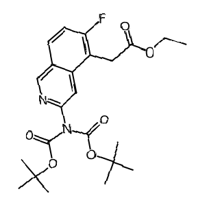 CCOC(=O)Cc1c(F)ccc2cnc(N(C(=O)OC(C)(C)C)C(=O)OC(C)(C)C)cc12